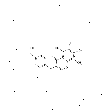 COc1ccc(Cc2coc3c(C)c(O)c(C)c(O)c3c2=O)cc1